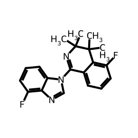 CC1(C)N=C(n2cnc3c(F)cccc32)c2cccc(F)c2C1(C)C